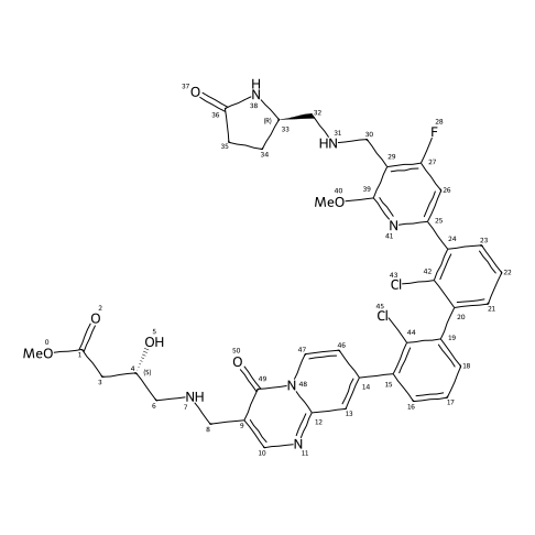 COC(=O)C[C@H](O)CNCc1cnc2cc(-c3cccc(-c4cccc(-c5cc(F)c(CNC[C@H]6CCC(=O)N6)c(OC)n5)c4Cl)c3Cl)ccn2c1=O